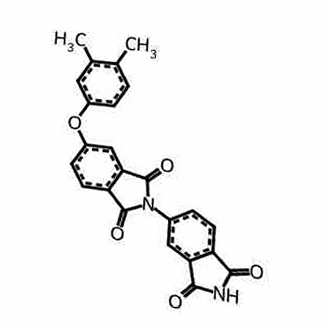 Cc1ccc(Oc2ccc3c(c2)C(=O)N(c2ccc4c(c2)C(=O)NC4=O)C3=O)cc1C